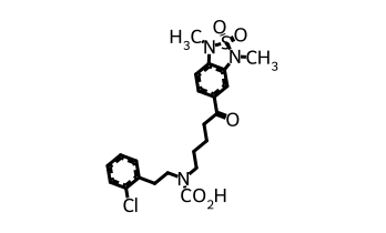 CN1c2ccc(C(=O)CCCCN(CCc3ccccc3Cl)C(=O)O)cc2N(C)S1(=O)=O